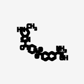 CC1Cc2nc(C(=O)N3CCN(S(=O)(=O)c4ccc5ccc(/C(N)=N\O)cc5c4)CC3)sc2CN1